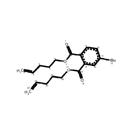 C=CCCCOC(=O)c1ccc(C(C)(C)C)cc1C(=O)OCCCC=C